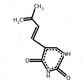 C=C(C)/C=C/c1c[nH]c(=O)[nH]c1=O